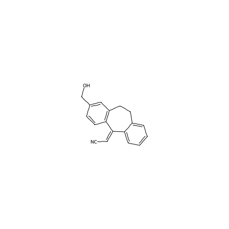 N#C/C=C1/c2ccccc2CCc2cc(CO)ccc21